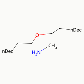 CCCCCCCCCCCCOCCCCCCCCCCCC.CN